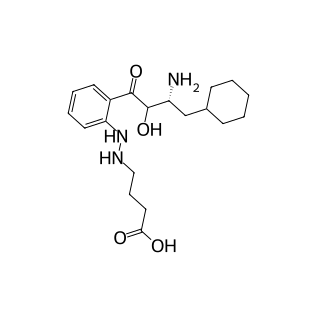 N[C@H](CC1CCCCC1)C(O)C(=O)c1ccccc1NNCCCC(=O)O